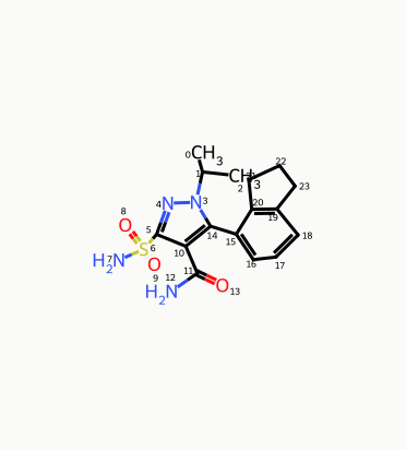 CC(C)n1nc(S(N)(=O)=O)c(C(N)=O)c1-c1cccc2c1CCC2